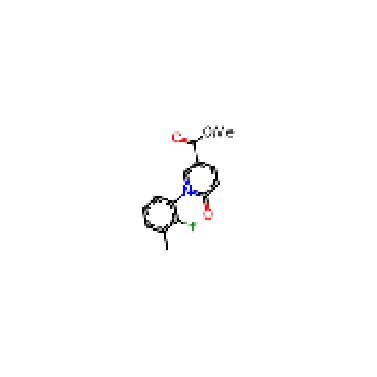 COC(=O)c1ccc(=O)n(-c2cccc(C)c2F)c1